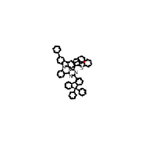 c1ccc(-c2ccc3c(c2)c2cc(-c4ccccc4)ccc2n3-c2ccccc2-c2nc(-c3cccc4c3-c3ccccc3C4(c3ccccc3)c3ccccc3)nc(-c3cccc4c3sc3ccccc34)n2)cc1